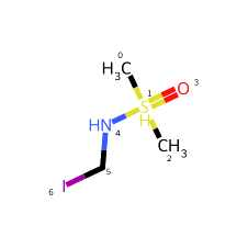 C[SH](C)(=O)NCI